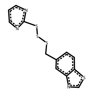 c1cnc(SSSCc2ccc3scnc3c2)nc1